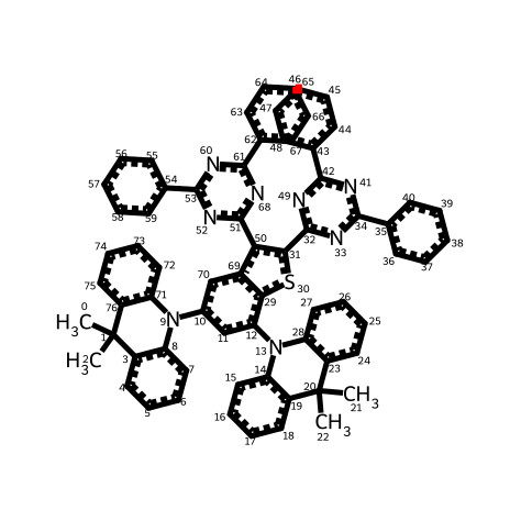 CC1(C)c2ccccc2N(c2cc(N3c4ccccc4C(C)(C)c4ccccc43)c3sc(-c4nc(-c5ccccc5)nc(-c5ccccc5)n4)c(-c4nc(-c5ccccc5)nc(-c5ccccc5)n4)c3c2)c2ccccc21